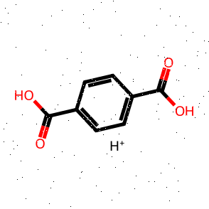 O=C(O)c1ccc(C(=O)O)cc1.[H+]